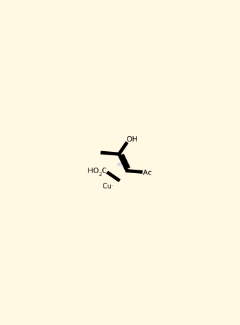 CC(=O)/C=C(/C)O.CC(=O)O.[Cu]